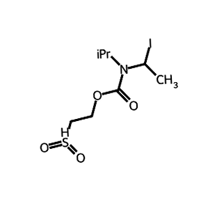 CC(C)N(C(=O)OCC[SH](=O)=O)C(C)I